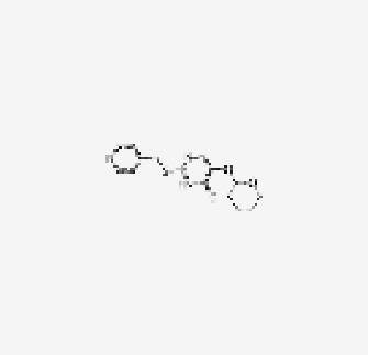 O=c1[nH]c(SCc2ccncc2)ncc1OC1CCCCO1